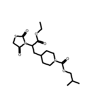 CCOC(=O)C(CC1CCN(C(=O)OCC(C)C)CC1)N1C(=O)CSC1=O